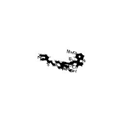 COc1ccc2ncc(Cl)c([C@H](F)CCC3(C(=O)NO)CCN(CCC(=S)c4cccnc4)CC3)c2c1